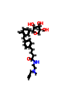 C#CCN(C)CCNC(=O)CCCc1ccc(Cc2cc([C@@H]3OC[C@@H](O)[C@H](O)[C@H]3O)ccc2C)cc1